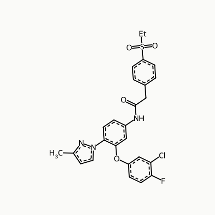 CCS(=O)(=O)c1ccc(CC(=O)Nc2ccc(-n3ccc(C)n3)c(Oc3ccc(F)c(Cl)c3)c2)cc1